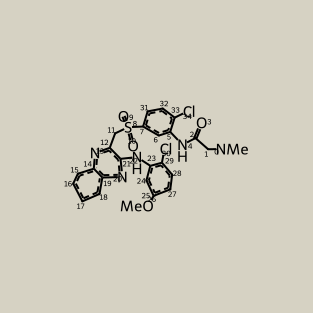 CNCC(=O)Nc1cc(S(=O)(=O)Cc2nc3ccccc3nc2Nc2cc(OC)ccc2Cl)ccc1Cl